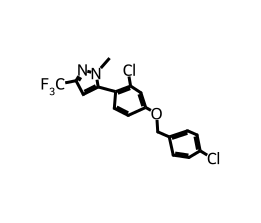 Cn1nc(C(F)(F)F)cc1-c1ccc(OCc2ccc(Cl)cc2)cc1Cl